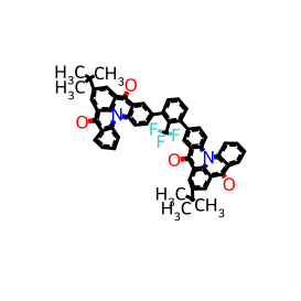 CC(C)(C)c1cc2c(=O)c3ccccc3n3c4ccc(-c5cccc(-c6ccc7c(c6)c(=O)c6cc(C(C)(C)C)cc8c(=O)c9ccccc9n7c86)c5C(F)(F)F)cc4c(=O)c(c1)c23